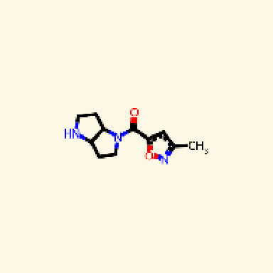 Cc1cc(C(=O)N2CCC3NCCC32)on1